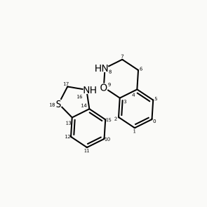 c1ccc2c(c1)CCNO2.c1ccc2c(c1)NCS2